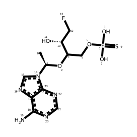 C[C@@H](OC(COP(O)(O)=S)[C@H](O)CF)n1cnc2c(N)ncnc21